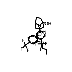 CCCOc1cc(C(F)(F)F)ccc1O[C@@H]1CC2CCC(O)(C1)N2c1ccc(C(F)(F)F)cn1